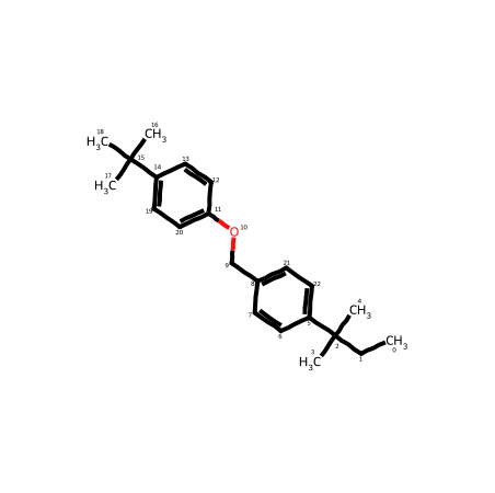 CCC(C)(C)c1ccc(COc2ccc(C(C)(C)C)cc2)cc1